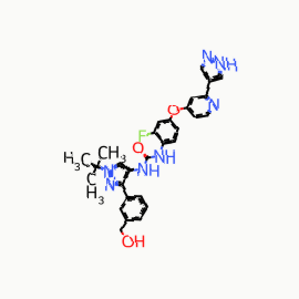 CC(C)(C)n1cc(NC(=O)Nc2ccc(Oc3ccnc(-c4cn[nH]c4)c3)cc2F)c(-c2cccc(CO)c2)n1